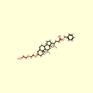 CC12CCC3C(CCC4CC(OCCOCCO)CCC43C)C1CCC2CCCC(=O)OCc1ccccc1